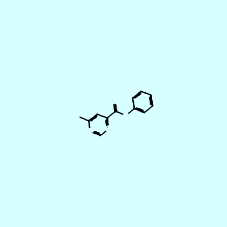 O=C(Sc1ccccc1)c1cc(Cl)ncn1